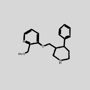 COCc1ncccc1OCC1CNCCC1c1ccccc1